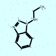 CCNn1nnc2ccccc21